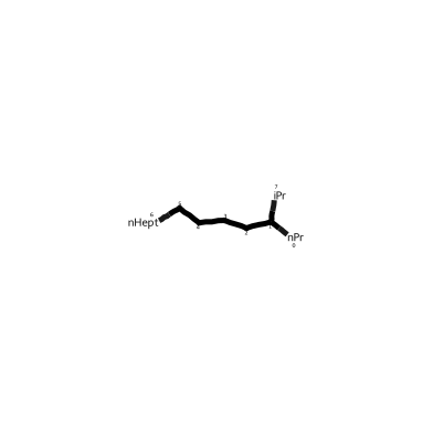 [CH2]CCC(CCCCCCCCCCC)C(C)C